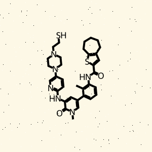 Cc1c(NC(=O)c2cc3c(s2)CCCCC3)cccc1-c1cc(Nc2ccc(N3CCN(CCS)CC3)cn2)c(=O)n(C)c1